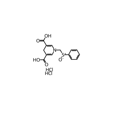 Cl.Cl.O=C(O)C1=CN(C[S+]([O-])c2ccccc2)C=C(C(=O)O)C1